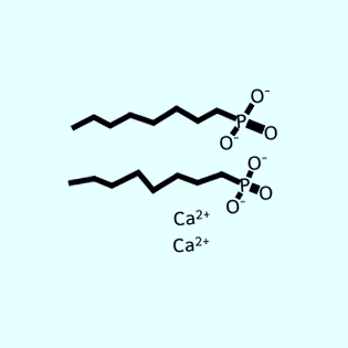 CCCCCCCCP(=O)([O-])[O-].CCCCCCCCP(=O)([O-])[O-].[Ca+2].[Ca+2]